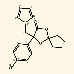 CCC1(CC)OC(=O)C(Cn2ccnc2)(c2ccc(Cl)cc2)O1